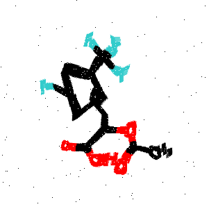 CC(=O)OC(C(=O)O)c1cc(F)cc(C(F)(F)F)c1